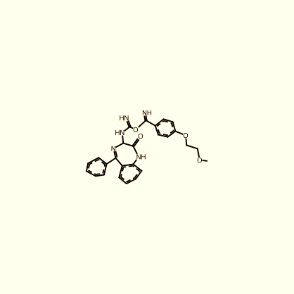 COCCOc1ccc(C(=N)OC(=N)NC2N=C(c3ccccc3)c3ccccc3NC2=O)cc1